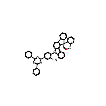 N#Cc1cc(-c2nc(-c3ccccc3)nc(-c3ccccc3)n2)ccc1-n1c2ccccc2c2c3c(ccc21)-c1ccccc1C31c2ccccc2Oc2ccccc21